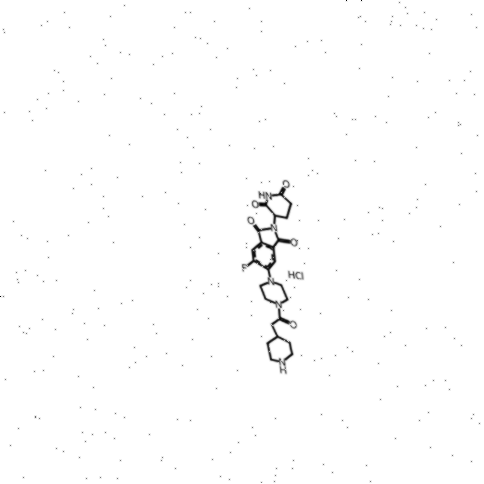 Cl.O=C1CCC(N2C(=O)c3cc(F)c(N4CCN(C(=O)CC5CCNCC5)CC4)cc3C2=O)C(=O)N1